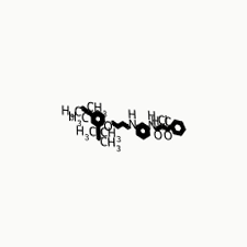 CCC(C)(C)c1ccc(OCCCCNc2cccc(NC(=O)C(Cl)C(=O)C3(C)CCCCC3)c2)c(C(C)(C)CC)c1